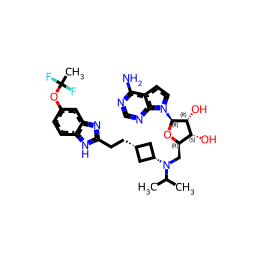 CC(C)N(C[C@H]1O[C@@H](n2ccc3c(N)ncnc32)[C@H](O)[C@@H]1O)[C@H]1C[C@@H](CCc2nc3cc(OC(C)(F)F)ccc3[nH]2)C1